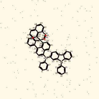 c1ccc(N(c2ccc3c4ccccc4n(-c4ccccc4)c3c2)c2ccc3c4c(cccc24)C2(c4ccccc4-c4cccc5cccc2c45)c2ccccc2-3)cc1